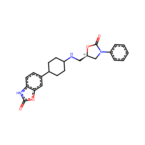 O=C1O[C@H](CNC2CCC(c3ccc4[nH]c(=O)oc4c3)CC2)CN1c1ccccc1